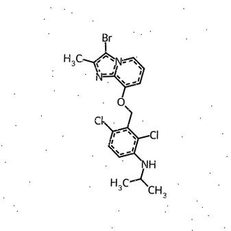 Cc1nc2c(OCc3c(Cl)ccc(NC(C)C)c3Cl)cccn2c1Br